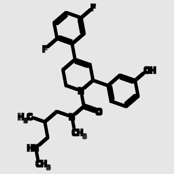 CNCC(C)CN(C)C(=O)N1CCC(c2cc(F)ccc2F)=CC1c1cccc(O)c1